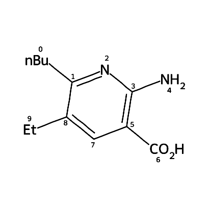 CCCCc1nc(N)c(C(=O)O)cc1CC